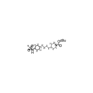 CC(C)(C)OC(=O)N1CCC(CCCCc2ccc(NS(C)(=O)=O)cc2)CC1